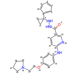 O=C(NNC1(c2ccccc2)CC1)c1ccc(Nc2ccc(OCCN3CCCC3)cc2)nc1